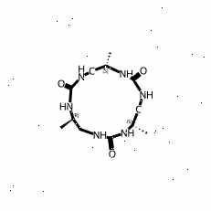 C[C@@H]1CNC(=O)N[C@@H](C)CNC(=O)N[C@@H](C)CNC(=O)N1